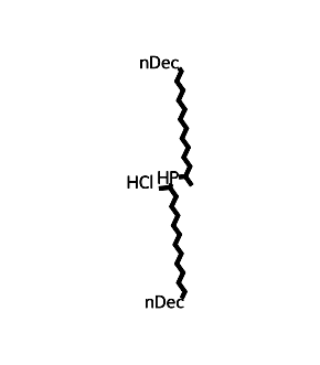 CCCCCCCCCCCCCCCCCCCCCC(C)PC(C)CCCCCCCCCCCCCCCCCCCCC.Cl